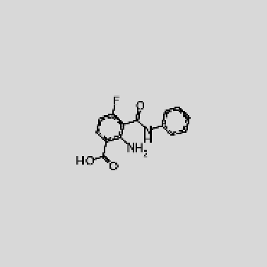 Nc1c(C(=O)O)ccc(F)c1C(=O)Nc1ccccc1